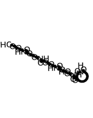 O=[C]COCCOCCNC(=O)COCCOCCNC(=O)COCCOCCNC(=O)COCCOCCNC(=O)C1C[C@@H](C(=O)O)NC(=O)CCCCCCCCC1=O